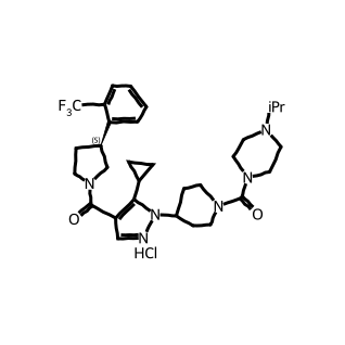 CC(C)N1CCN(C(=O)N2CCC(n3ncc(C(=O)N4CC[C@@H](c5ccccc5C(F)(F)F)C4)c3C3CC3)CC2)CC1.Cl